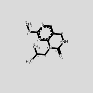 CSc1ncc2c(n1)N(CC(C)C)C(=O)NC2